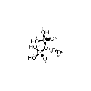 O=P(O)(O)OP(=O)(O)O.[Fe].[Fe]